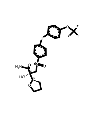 NC(=O)[C@@](O)(CS(=O)(=O)c1ccc(Oc2ccc(OC(F)(F)F)cc2)cc1)[C@H]1CCCO1